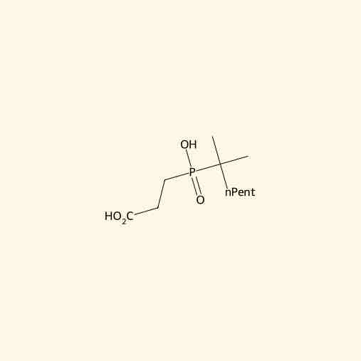 CCCCCC(C)(C)P(=O)(O)CCC(=O)O